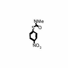 CNC(=O)Sc1ccc([N+](=O)[O-])cc1